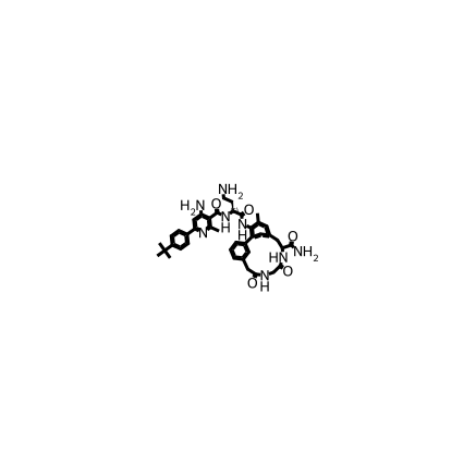 Cc1cc2cc(c1NC(=O)[C@H](CCN)NC(=O)c1c(N)cc(-c3ccc(C(C)(C)C)cc3)nc1C)-c1cccc(c1)CC(=O)NCC(=O)NC(C(N)=O)C2